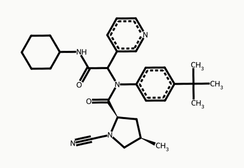 C[C@@H]1C[C@H](C(=O)N(c2ccc(C(C)(C)C)cc2)C(C(=O)NC2CCCCC2)c2cccnc2)N(C#N)C1